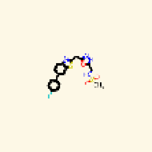 CS(=O)(=O)NCc1nnc(Cc2nc3ccc(-c4ccc(F)cc4)cc3s2)o1